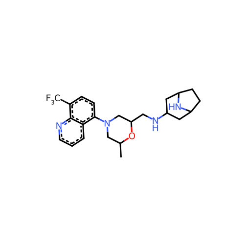 CC1CN(c2ccc(C(F)(F)F)c3ncccc23)CC(CNC2CC3CCC(C2)N3)O1